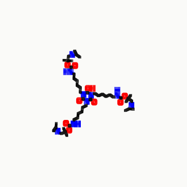 CC1CN1CC(C)(C)OC(=O)NCCCCCCN1C(=O)N(CCCCCCNC(=O)OC(C)(C)CN2CC2C)C(O)N(CCCCCCNC(=O)OC(C)(C)CN2CC2C)C1=O